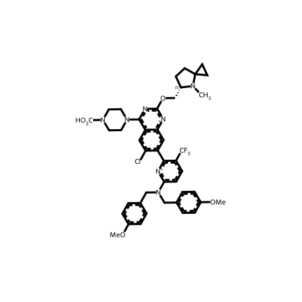 COc1ccc(CN(Cc2ccc(OC)cc2)c2ccc(C(F)(F)F)c(-c3cc4nc(OC[C@@H]5CCC6(CC6)N5C)nc(N5CCN(C(=O)O)CC5)c4cc3Cl)n2)cc1